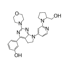 OCC1CCCN1c1cc(N2CCc3c(-c4cccc(O)c4)nc(N4CCOCC4)nc32)ccn1